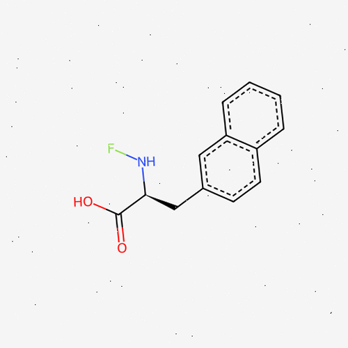 O=C(O)[C@H](Cc1ccc2ccccc2c1)NF